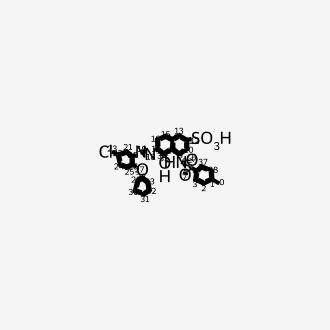 Cc1ccc(S(=O)(=O)Nc2cc(S(=O)(=O)O)cc3ccc(N=Nc4cc(Cl)ccc4Oc4ccccc4)c(O)c23)cc1